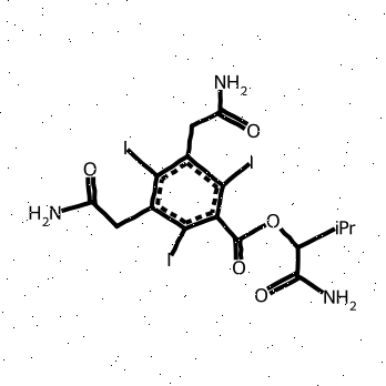 CC(C)C(OC(=O)c1c(I)c(CC(N)=O)c(I)c(CC(N)=O)c1I)C(N)=O